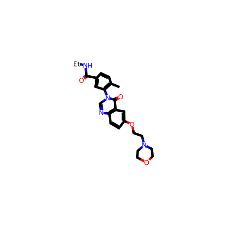 CCNC(=O)c1ccc(C)c(-n2cnc3ccc(OCCN4CCOCC4)cc3c2=O)c1